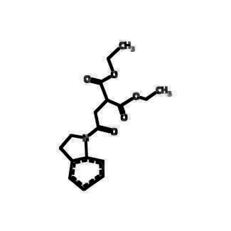 CCOC(=O)C(CC(=O)N1CCc2ccccc21)C(=O)OCC